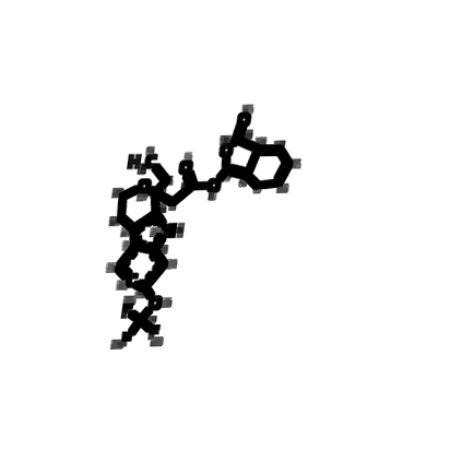 CCC1(CC(=O)OC2=C3CC=CC=C3C(=O)O2)OCCc2c1[nH]c1cc(OC(F)(F)F)ccc21